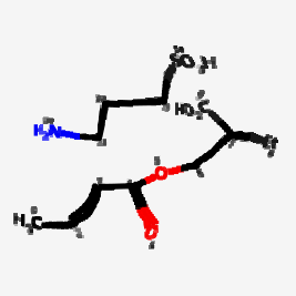 CC=CC(=O)OCC(CC)C(=O)O.NCCCS(=O)(=O)O